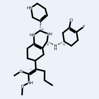 CCC/C(=C(\NOC)OC)C1CCC2=C(C1)[C@@H](N[C@H]1CCC(F)=C(Cl)C1)N[C@@H](C1=CCCNC1)N2